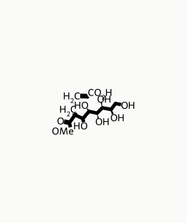 C=C(C(=O)OC)C(O)[C@H](O)[C@@H](O)[C@H](O)[C@H](O)CO.C=CC(=O)O